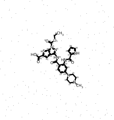 CCOC(=O)n1nc(NC(=O)c2ccc(N3CCN(C)CC3)cc2NC(=O)c2ccc[nH]2)c2cc(C(=O)O)sc21